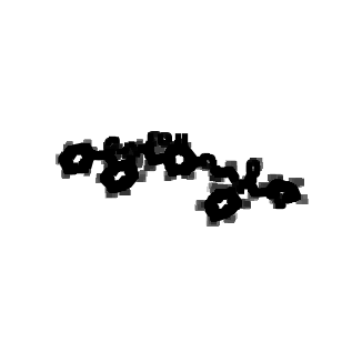 O=C(c1ccccc1)c1ccccc1NC(Cc1ccc(OCCN(C(=O)Cc2cccs2)c2ccccc2)cc1)C(=O)O